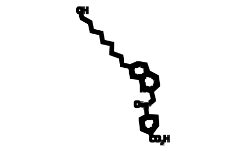 O=C(O)c1ccc([S+]([O-])Cc2ccc3ccc(CCCCCCCCCO)cc3n2)cc1